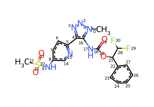 Cn1nnc(-c2ccc(NS(C)(=O)=O)cn2)c1NC(=O)OC(c1ccccc1)C(F)F